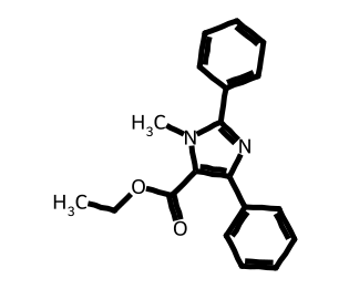 CCOC(=O)c1c(-c2ccccc2)nc(-c2ccccc2)n1C